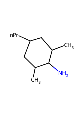 CCCC1CC(C)C(N)C(C)C1